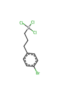 Cl[Si](Cl)(Cl)CCCc1ccc(Br)cc1